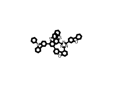 c1ccc(-n2c3ccccc3c3cc(-c4cc(-c5ccc6oc7cccc(-c8nc(-c9ccc%10c(c9)oc9ccccc9%10)nc(-c9cccc%10c9sc9ccccc9%10)n8)c7c6c5)cc5c4sc4ccccc45)ccc32)cc1